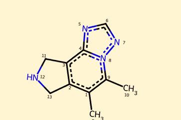 Cc1c2c(c3ncnn3c1C)CNC2